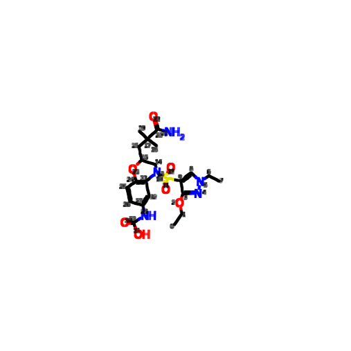 CCOc1nn(CC)cc1S(=O)(=O)N1CC(CC(C)(C)C(N)=O)Oc2ccc(NC(=O)O)cc21